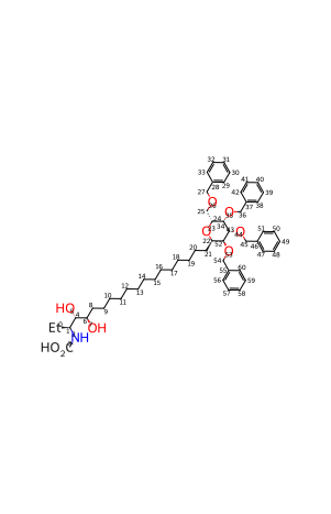 CC[C@H](NC(=O)O)[C@H](O)[C@H](O)CCCCCCCCCCCCCC[C@H]1O[C@H](COCc2ccccc2)[C@H](OCc2ccccc2)[C@H](OCc2ccccc2)[C@H]1OCc1ccccc1